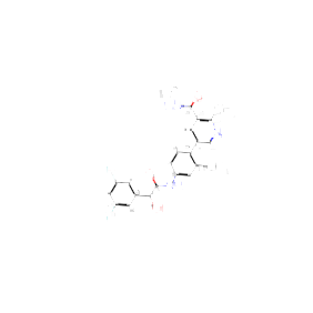 Cc1cc(NC(=O)C(O)c2cc(F)cc(F)c2)ccc1-c1cnc(C)c(C(=O)NC(C)C)c1